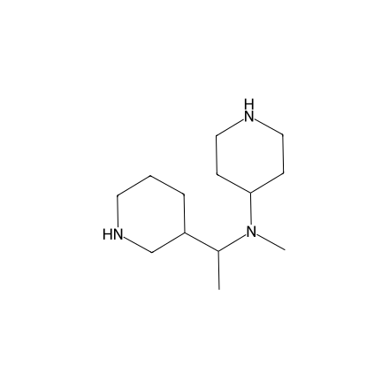 CC(C1CCCNC1)N(C)C1CCNCC1